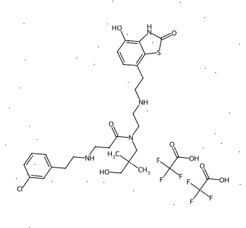 CC(C)(CO)CN(CCNCCc1ccc(O)c2[nH]c(=O)sc12)C(=O)CCNCCc1cccc(Cl)c1.O=C(O)C(F)(F)F.O=C(O)C(F)(F)F